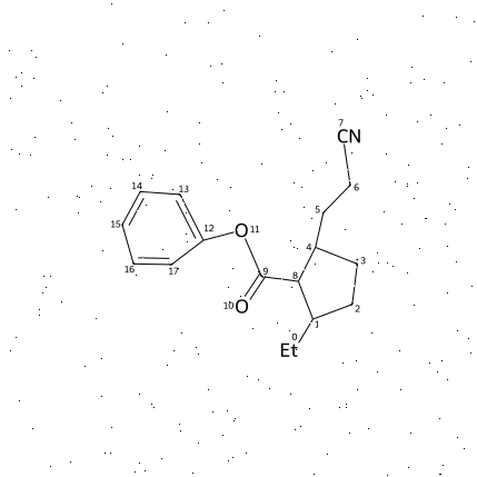 [CH2]CC1C[CH]C(CCC#N)C1C(=O)Oc1ccccc1